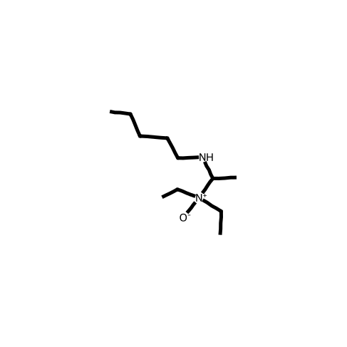 CCCCCNC(C)[N+]([O-])(CC)CC